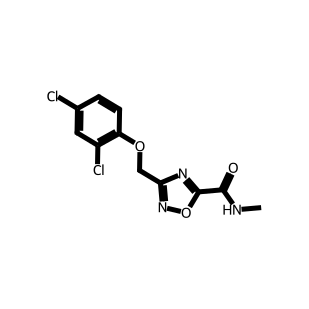 CNC(=O)c1nc(COc2ccc(Cl)cc2Cl)no1